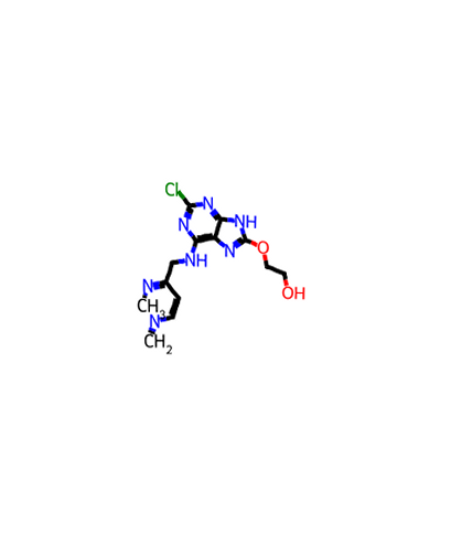 C=N/C=C\C(CNc1nc(Cl)nc2[nH]c(OCCO)nc12)=N/C